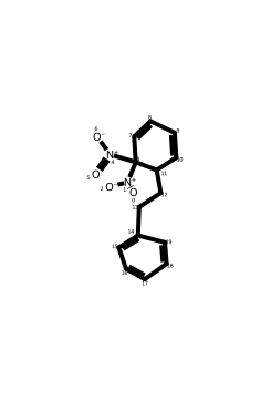 O=[N+]([O-])C1([N+](=O)[O-])C=CC=CC1CCc1ccccc1